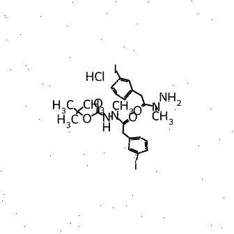 CN(N)C(=O)Cc1cccc(I)c1.CN(NC(=O)OC(C)(C)C)C(=O)Cc1cccc(I)c1.Cl